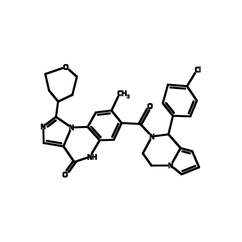 Cc1cc2c(cc1C(=O)N1CCn3cccc3C1c1ccc(Cl)cc1)[nH]c(=O)c1cnc(C3CCOCC3)n12